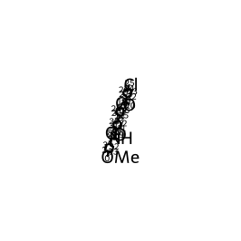 COc1ccc(CNS(=O)(=O)c2ccc(-c3ccc(OC(=O)c4ccc(Cl)cc4)cc3)cc2)cc1